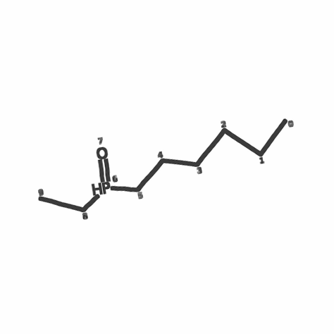 CCCCCC[PH](=O)CC